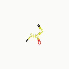 C=S=[SH](=O)SC